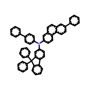 c1ccc(-c2ccc(N(c3ccc4c(c3)C(c3ccccc3)(c3ccccc3)c3ccccc3-4)c3ccc4c(ccc5cc(-c6ccccc6)ccc54)c3)cc2)cc1